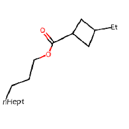 CCCCCCCCCCOC(=O)C1CC(CC)C1